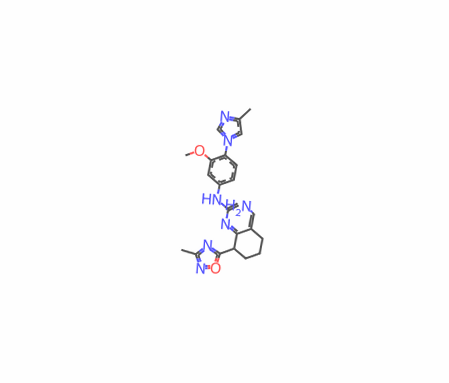 C=C(/N=C1\C(=C/N)CCCC1c1nc(C)no1)Nc1ccc(-n2cnc(C)c2)c(OC)c1